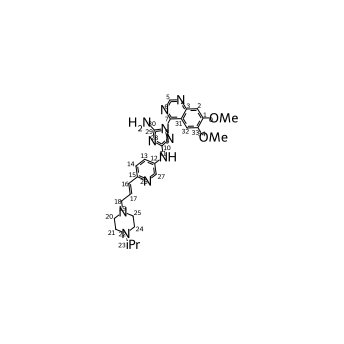 COc1cc2ncnc(-n3nc(Nc4ccc(/C=C/CN5CCN(C(C)C)CC5)nc4)nc3N)c2cc1OC